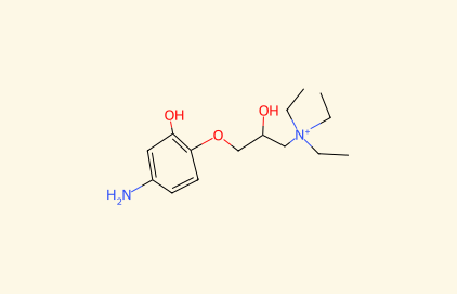 CC[N+](CC)(CC)CC(O)COc1ccc(N)cc1O